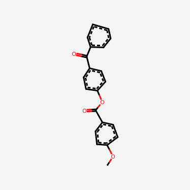 COc1ccc(C(=O)Oc2ccc(C(=O)c3ccccc3)cc2)cc1